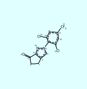 O=C1CCc2cn(-c3c(Cl)cc(C(F)(F)F)cc3Cl)nc21